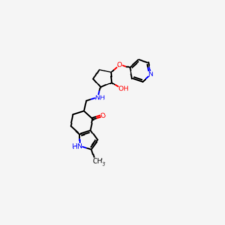 Cc1cc2c([nH]1)CCC(CNC1CCC(Oc3ccncc3)C1O)C2=O